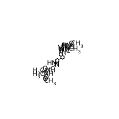 COOCN[C@H](C(=O)NCCCCc1nc2cc(-c3cccc4cc(C5CN=C([C@@H]6CCCN6C(=O)[C@@H](NC(=O)OC)C(C)C)N5)ccc34)ccc2[nH]1)C(C)C